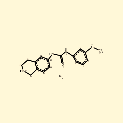 Cl.O=C(Nc1cccc(OC(F)(F)F)c1)Nc1ccc2c(c1)CCNC2